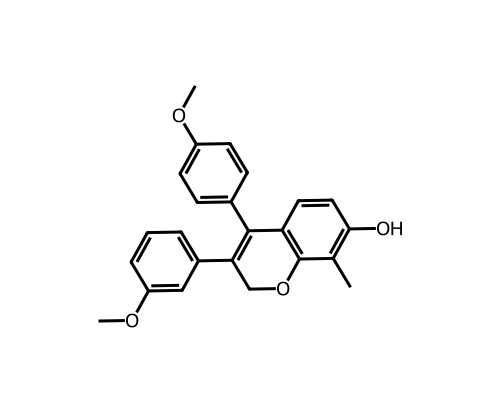 COc1ccc(C2=C(c3cccc(OC)c3)COc3c2ccc(O)c3C)cc1